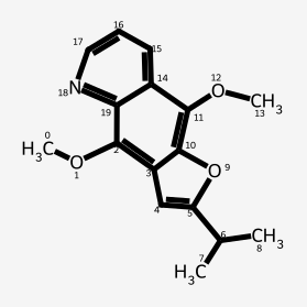 COc1c2cc(C(C)C)oc2c(OC)c2cccnc12